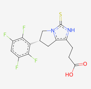 O=C(O)CCc1[nH]c(=S)n2c1C[C@H](c1c(F)c(F)cc(F)c1F)C2